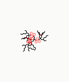 CCCCC(CC)CC(CC(CC)CCCC)(CC(CC)CCCC)C(=O)OC(=O)CC(O)(CC(=O)OC(=O)C(CC(CC)CCCC)(CC(CC)CCCC)CC(CC)CCCC)C(=O)OC(=O)C(CC(CC)CCCC)(CC(CC)CCCC)CC(CC)CCCC